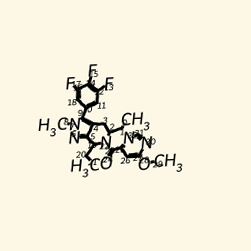 CCC1Cc2c(nn(C)c2-c2cc(F)c(F)c(F)c2)C(CC)N1C(=O)c1cc(OC)ncn1